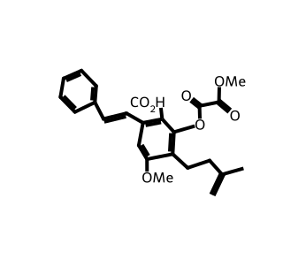 C=C(C)CCc1c(OC)cc(/C=C/c2ccccc2)c(C(=O)O)c1OC(=O)C(=O)OC